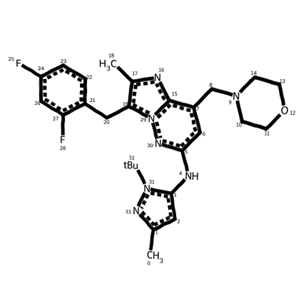 Cc1cc(Nc2cc(CN3CCOCC3)c3nc(C)c(Cc4ccc(F)cc4F)n3n2)n(C(C)(C)C)n1